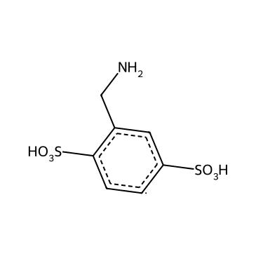 NCc1cc(S(=O)(=O)O)[c]cc1S(=O)(=O)O